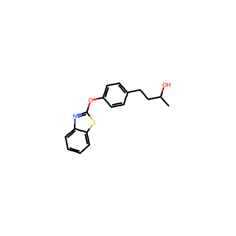 CC(O)CCc1ccc(Oc2nc3ccccc3s2)cc1